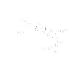 COc1cc(C(=O)N2C[C@H](N)C[C@@H](F)C2)cc2nc(-c3cc4ccc(-c5cc(C#N)cc(CO)c5)nc4n3CC3CC3)n(C)c12